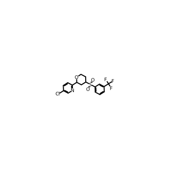 O=S(=O)(c1cccc(C(F)(F)F)c1)C1CCOC(c2ccc(Cl)cn2)C1